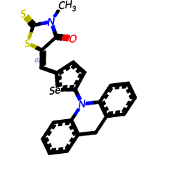 CN1C(=O)/C(=C\c2ccc(N3c4ccccc4Cc4ccccc43)[se]2)SC1=S